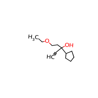 C#CC(O)(CCOCC)C1CCCC1